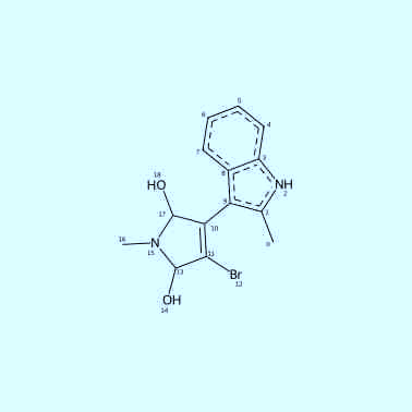 Cc1[nH]c2ccccc2c1C1=C(Br)C(O)N(C)C1O